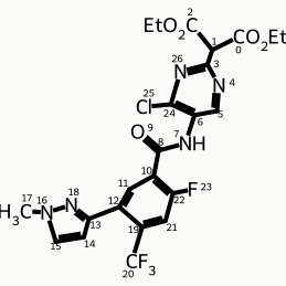 CCOC(=O)C(C(=O)OCC)c1ncc(NC(=O)c2cc(-c3ccn(C)n3)c(C(F)(F)F)cc2F)c(Cl)n1